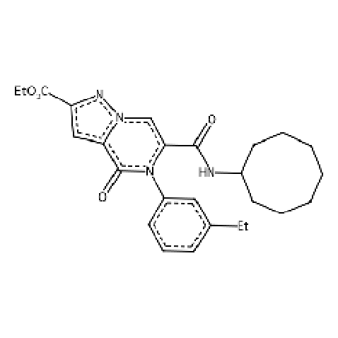 CCOC(=O)c1cc2c(=O)n(-c3cccc(CC)c3)c(C(=O)NC3CCCCCCC3)cn2n1